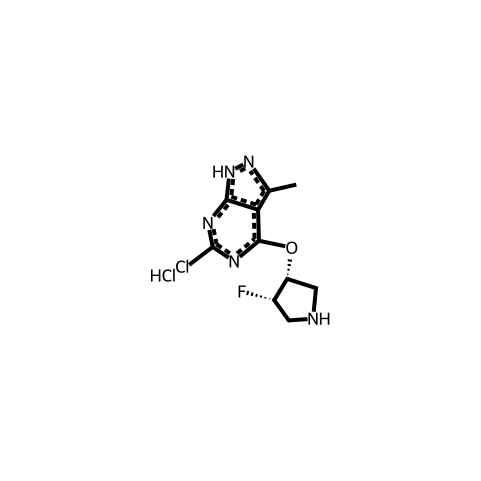 Cc1n[nH]c2nc(Cl)nc(O[C@@H]3CNC[C@@H]3F)c12.Cl